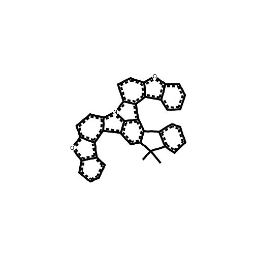 CC1(C)c2ccccc2-c2c1cc1c3c4c(ccc3n3c5ccc6oc7ccccc7c6c5c2c13)oc1ccccc14